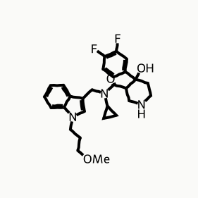 COCCCn1cc(CN(C(=O)C2CNCCC2(O)c2ccc(F)c(F)c2)C2CC2)c2ccccc21